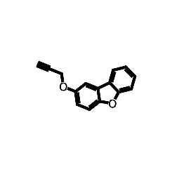 C#CCOc1ccc2oc3ccccc3c2c1